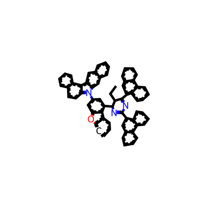 CCC1C(c2cc3ccccc3c3ccccc23)=NC(c2cc3ccccc3c3ccccc23)=NC1c1cc(-n2c3cc4ccccc4cc3c3c4ccccc4ccc32)cc2oc3ccccc3c12